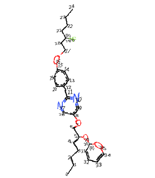 CCCCCC(COc1cnc(-c2ccc(OCC[C@H](F)CCCC)cc2)nc1)O[C@@H]1C=CC=CO1